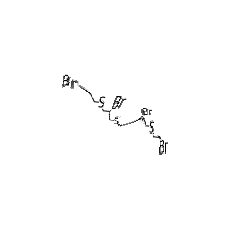 BrCCSCC(Br)CSCC(Br)CSCCBr